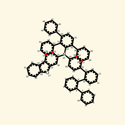 c1ccc(-c2ccccc2-c2ccccc2-c2ccc(N(c3ccc4c(c3)oc3ccccc34)c3c(-c4ccccc4)ccc(-c4ccccc4)c3-c3ccccc3)cc2)cc1